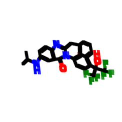 CC(C)Nc1ccc2nc(Cc3ccccc3)n(-c3ccc(C(O)(C(F)(F)F)C(F)(F)F)cc3)c(=O)c2c1